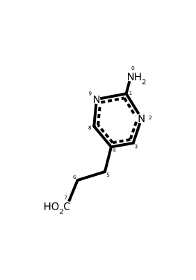 Nc1ncc(CCC(=O)O)cn1